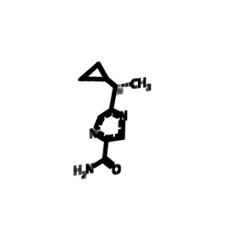 C[C@H](c1cnc(C(N)=O)cn1)C1CC1